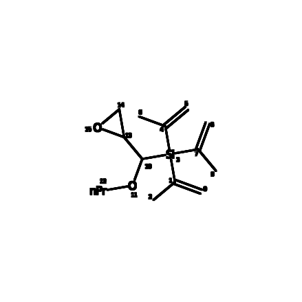 C=C(C)[Si](C(=C)C)(C(=C)C)C(OCCC)C1CO1